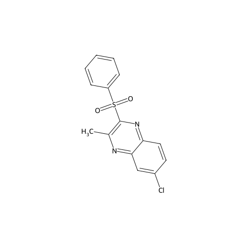 Cc1nc2cc(Cl)ccc2nc1S(=O)(=O)c1ccccc1